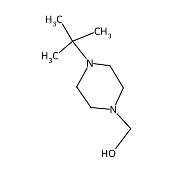 CC(C)(C)N1CCN(CO)CC1